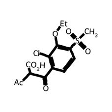 CCOc1c(S(C)(=O)=O)ccc(C(=O)C(C(C)=O)C(=O)O)c1Cl